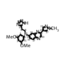 COc1cc(OC)cc(N(CCc2nnn[nH]2)c2ccc3ncc(-c4cnn(C)c4)nc3c2)c1